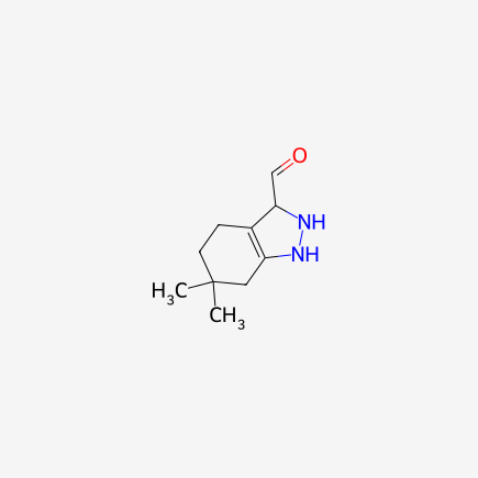 CC1(C)CCC2=C(C1)NNC2C=O